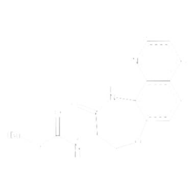 CC(C)(C)OC(=O)N[C@H]1COc2ccc3cccnc3c2NC1=O